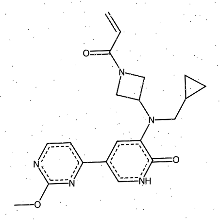 C=CC(=O)N1CC(N(CC2CC2)c2cc(-c3ccnc(OC)n3)c[nH]c2=O)C1